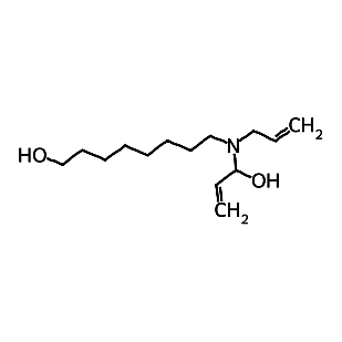 C=CCN(CCCCCCCCO)C(O)C=C